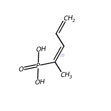 C=C/C=C(/C)P(=O)(O)O